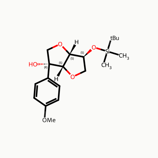 COc1ccc([C@@]2(O)CO[C@@H]3[C@@H](O[Si](C)(C)C(C)(C)C)CO[C@@H]32)cc1